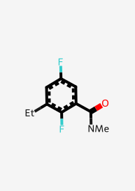 CCc1cc(F)cc(C(=O)NC)c1F